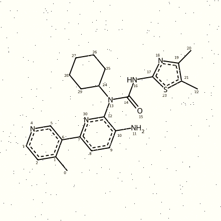 Cc1ccncc1-c1ccc(N)c(N(C(=O)Nc2nc(C)c(C)s2)C2CCCCC2)n1